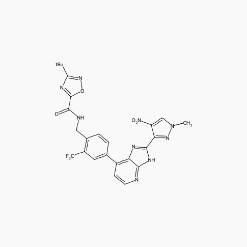 Cn1cc([N+](=O)[O-])c(-c2nc3c(-c4ccc(CNC(=O)c5nc(C(C)(C)C)no5)c(C(F)(F)F)c4)ccnc3[nH]2)n1